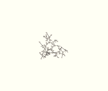 CP[Si]12O[Si](CP)(O[Si](C)(C)C)O[Si]3(CP)O[Si](CP)(O[Si](C)(C)C)O[Si](PC)(O[Si](CP)(O3)O1)O[Si](O[Si](C)(C)C)(PC)O2